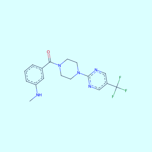 CNc1cccc(C(=O)N2CCN(c3ncc(C(F)(F)F)cn3)CC2)c1